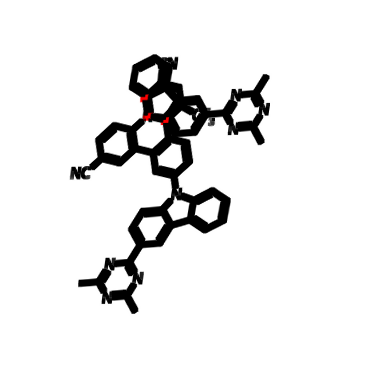 Cc1nc(C)nc(-c2ccc3c(c2)c2ccccc2n3-c2ccc(-c3ccc(C#N)cc3C(F)(F)F)c(-c3cc(C#N)ccc3-n3c4ccccc4c4cc(-c5nc(C)nc(C)n5)ccc43)c2)n1